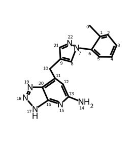 Cc1ccccc1-n1cc(Cc2cc(N)nc3[nH]nnc23)cn1